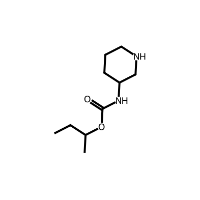 CCC(C)OC(=O)NC1CCCNC1